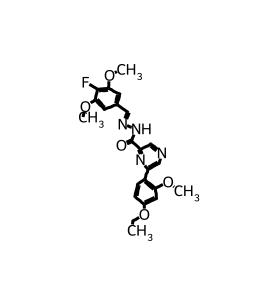 CCOc1ccc(-c2cncc(C(=O)NN=Cc3cc(OC)c(F)c(OC)c3)n2)c(OC)c1